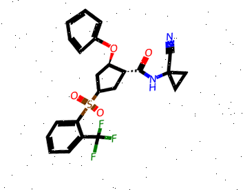 N#CC1(NC(=O)[C@@H]2CC(S(=O)(=O)c3ccccc3C(F)(F)F)C[C@H]2Oc2ccccc2)CC1